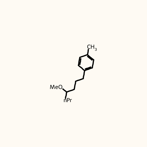 CCCC(CCCc1ccc(C)cc1)OC